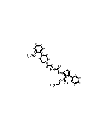 CCOC(=O)c1c(-c2ccccc2)csc1NC(=O)NCCN1CCN(c2ccccc2OC)CC1